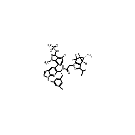 C[C@@H]1[C@@H]2c3c(C(F)F)nn(CC(=O)N[C@H](Cc4cc(F)cc(F)c4)c4nc5[nH]ncc5cc4-c4ccc(Cl)c5c(NS(C)(=O)=O)nn(C)c45)c3C(F)(F)[C@H]12